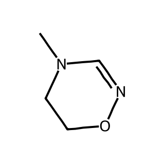 CN1C=NOCC1